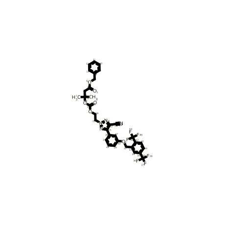 CC(C)(CC(=O)OCc1ccccc1)OC(=O)OCCn1nc(C#N)c(-c2cccc(OCc3cc(C(F)(F)F)ccc3C(F)(F)F)c2)n1